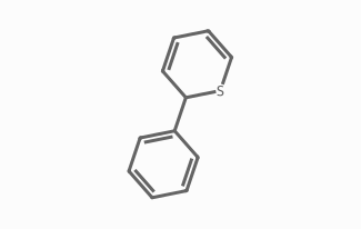 C1=CSC(c2ccccc2)C=C1